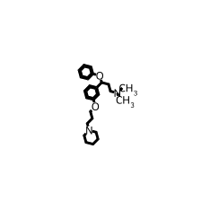 CN(C)CCC(Oc1ccccc1)c1cccc(OCCCN2CCCCC2)c1